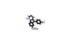 COc1ccc2c(c1)C(c1ccc(Cl)cc1)C1CCCNC21